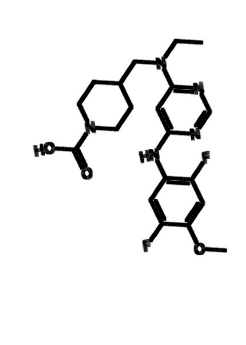 CCN(CC1CCN(C(=O)O)CC1)c1cc(Nc2cc(F)c(OC)cc2F)ncn1